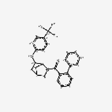 O=C(c1ccccc1-c1cnccn1)N1CC2CC(Oc3ccc(C(F)(F)F)cn3)C1C2